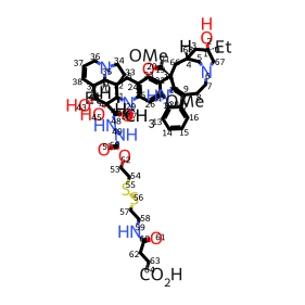 CC[C@@]1(O)C[C@@H]2CN(CCc3c([nH]c4ccccc34)[C@](C(=O)OC)(c3cc4c(cc3OC)N(C)[C@H]3[C@@]5(CCN6CC=C[C@@](CC)([C@@H]65)[C@H](O)[C@@]3(O)C(=O)NNC(=O)OCCSSCCNC(=O)CCC(=O)O)C4)C2)C1